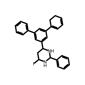 IC1CC(c2cc(C3=CC=CCC3)cc(-c3ccccc3)c2)NC(c2ccccc2)N1